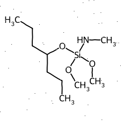 CCCC(CCC)O[Si](NC)(OC)OC